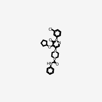 O=C(Nc1ccccc1)N1CCN(c2cnn(-c3cccc(Cl)c3)c(=O)c2OC2CCCC2)CC1